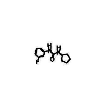 O=C(Nc1cccc(F)c1)NC1CCCC1